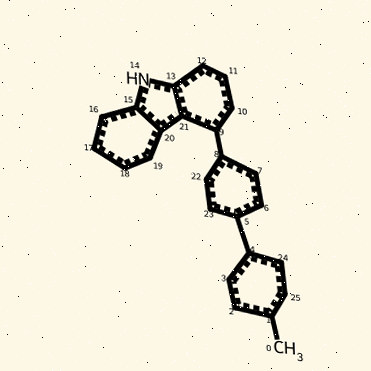 Cc1ccc(-c2ccc(-c3cccc4[nH]c5ccccc5c34)cc2)cc1